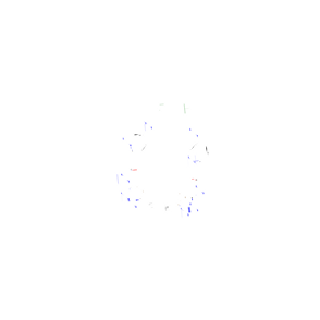 O=C(Cc1ccc(N2CC(F)C2)cn1)Nc1nnc([C@H]2CC[C@H](c3nnc(NC(=O)Cc4ccc(N5CC(F)C5)cn4)s3)C2)s1